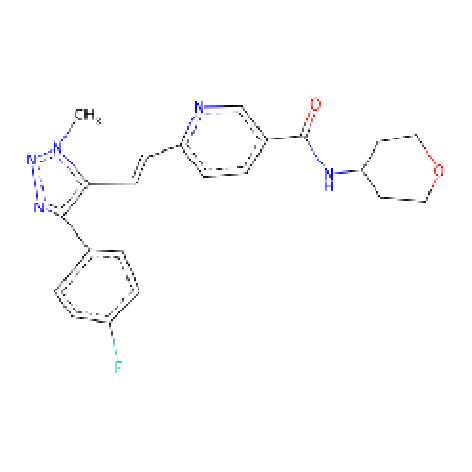 Cn1nnc(-c2ccc(F)cc2)c1C=Cc1ccc(C(=O)NC2CCOCC2)cn1